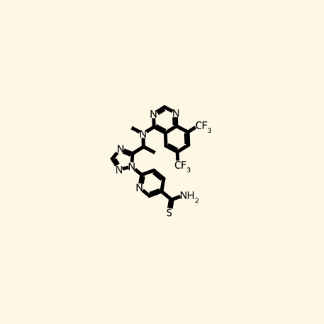 CC(c1ncnn1-c1ccc(C(N)=S)cn1)N(C)c1ncnc2c(C(F)(F)F)cc(C(F)(F)F)cc12